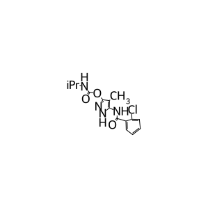 Cc1c(OC(=O)NC(C)C)n[nH]c1NC(=O)c1ccccc1Cl